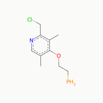 Cc1cnc(CCl)c(C)c1OCCP